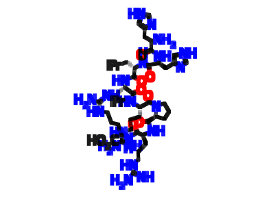 CC(C)C[C@H](NC(=O)[C@H](Cc1c[nH]cn1)NC(=O)[C@@H](N)Cc1c[nH]cn1)C(=O)N[C@@H](CC(C)C)C(=O)N[C@@H](CCCNC(=N)N)C(=O)N1CCC[C@H]1C(=O)N[C@@H](CCCNC(=N)N)C(=O)N[C@@H](CCCNC(=N)N)C(=O)O